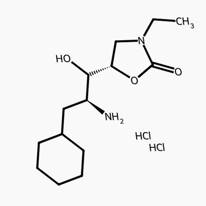 CCN1C[C@@H](C(O)[C@@H](N)CC2CCCCC2)OC1=O.Cl.Cl